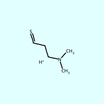 CN(C)CC[C]=S.[H+]